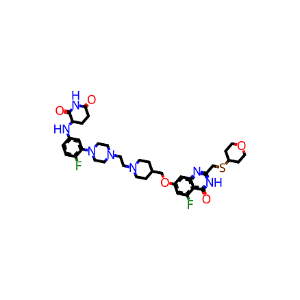 O=C1CCC(Nc2ccc(F)c(N3CCN(CCN4CCC(COc5cc(F)c6c(=O)[nH]c(CSC7CCOCC7)nc6c5)CC4)CC3)c2)C(=O)N1